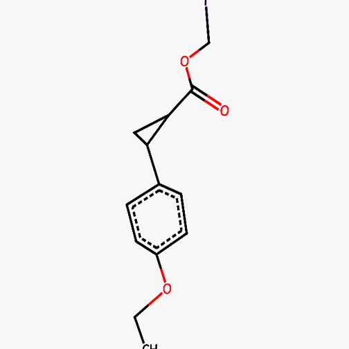 CCOc1ccc(C2CC2C(=O)OCI)cc1